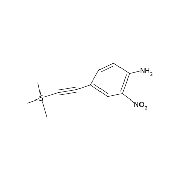 CS(C)(C)C#Cc1ccc(N)c([N+](=O)[O-])c1